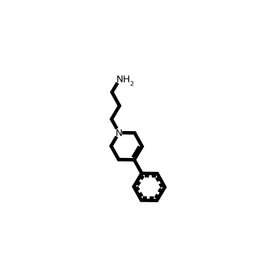 NCCCN1CC=C(c2ccccc2)CC1